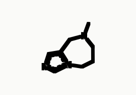 CN1CCCn2cncc2C1